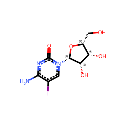 Nc1nc(=O)n([C@@H]2O[C@H](CO)[C@H](O)[C@@H]2O)cc1I